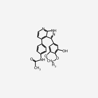 COc1cc(-c2n[nH]c3nccc(-c4ccc(NC(C)=O)cc4)c23)cc(O)c1OC